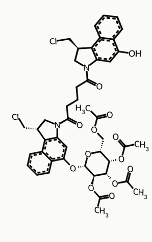 CC(=O)OC[C@H]1O[C@@H](Oc2cc3c(c4ccccc24)[C@H](CCl)CN3C(=O)CCCC(=O)N2C[C@@H](CCl)c3c2cc(O)c2ccccc32)[C@H](OC(C)=O)[C@@H](OC(C)=O)[C@H]1OC(C)=O